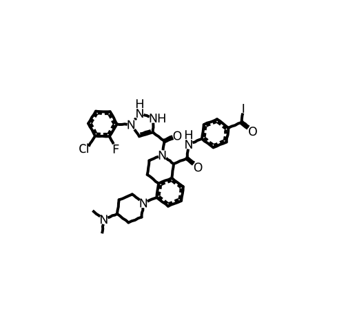 CN(C)C1CCN(c2cccc3c2CCN(C(=O)C2=CN(c4cccc(Cl)c4F)NN2)C3C(=O)Nc2ccc(C(=O)I)cc2)CC1